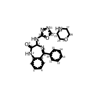 O=C1Nc2ccccc2C(c2ccccc2)=NC1Nc1nnc([C@H]2COCCN2)o1